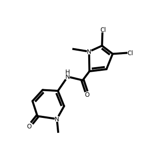 Cn1c(C(=O)Nc2ccc(=O)n(C)c2)cc(Cl)c1Cl